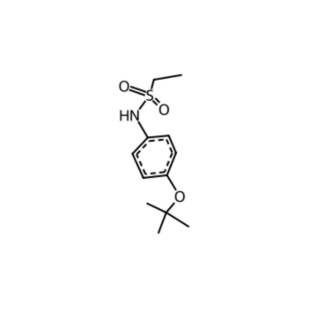 CCS(=O)(=O)Nc1ccc(OC(C)(C)C)cc1